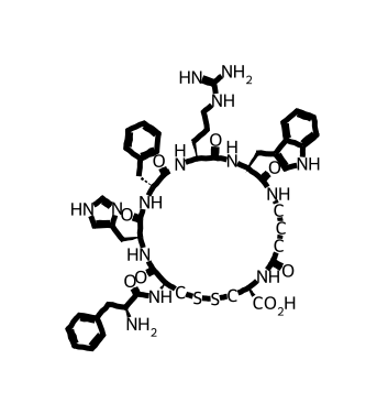 N=C(N)NCCC[C@@H]1NC(=O)[C@@H](Cc2ccccc2)NC(=O)[C@H](Cc2c[nH]cn2)NC(=O)[C@@H](NC(=O)[C@@H](N)Cc2ccccc2)CSSC[C@H](C(=O)O)NC(=O)CCCNC(=O)[C@H](Cc2c[nH]c3ccccc23)NC1=O